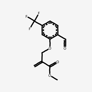 C=C(COc1cc(C(F)(F)F)ccc1C=O)C(=O)OC